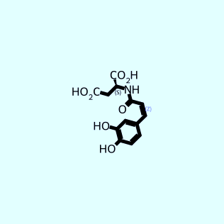 O=C(O)C[C@H](NC(=O)/C=C\c1ccc(O)c(O)c1)C(=O)O